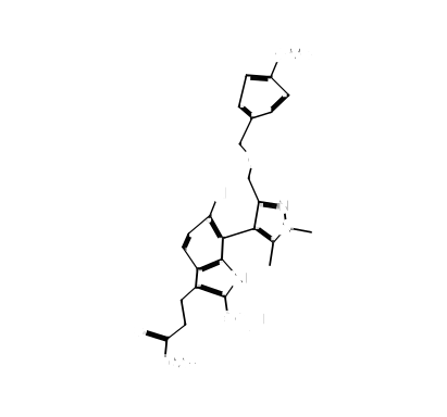 COC(=O)CCc1c(C(=O)O)[nH]c2c(-c3c(COCc4ccc(OC)cc4)nn(C)c3C)c(Cl)ccc12